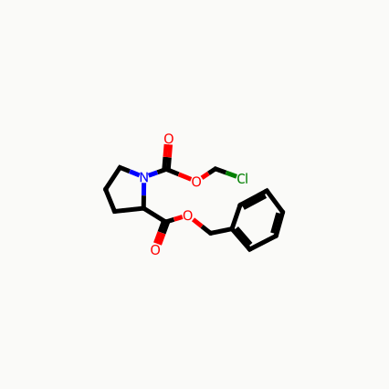 O=C(OCc1ccccc1)C1CCCN1C(=O)OCCl